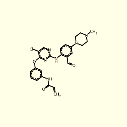 C=CC(=O)Nc1cccc(Oc2nc(Nc3ccc(N4CCN(C)CC4)cc3C=O)ncc2Cl)c1